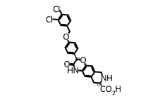 O=C(O)[C@@H]1Cc2cc3c(cc2CN1)O[C@H](c1ccc(OCc2ccc(Cl)c(Cl)c2)cc1)C(=O)N3